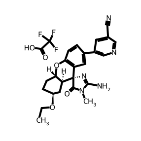 CCO[C@H]1CC[C@@H]2Oc3ccc(-c4cncc(C#N)c4)cc3[C@]3(N=C(N)N(C)C3=O)[C@H]2C1.O=C(O)C(F)(F)F